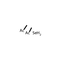 CC(C)=O.CC(C)=O.[SeH2]